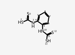 S=C(S)Nc1ccccc1NC(=S)S